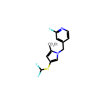 CCOC(=O)c1cc(SC(F)F)cn1Cc1ccnc(F)c1